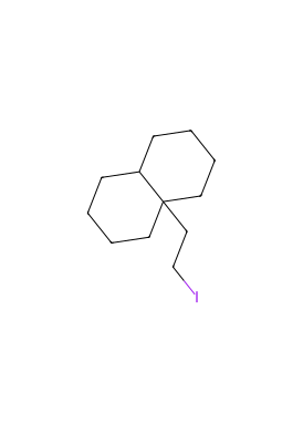 ICCC12CCCCC1CCCC2